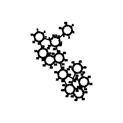 c1ccc(-c2nc(-c3ccccc3-c3ccccc3)cc(-c3ccc(-c4ccc5c(c4)C(c4ccccc4)(c4ccccc4)c4c-5ccc5ccccc45)c4ccccc34)n2)cc1